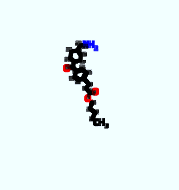 CCCCCOC(=O)CCc1ccc(C(=O)C2CCC(CN)CC2)cc1